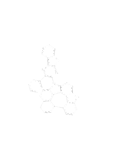 c1ccc(-c2nc3c(nc2-n2c4ccc5cccc6c5c4c4c5c(ccc42)oc2cccc-6c25)sc2ccccc23)cc1